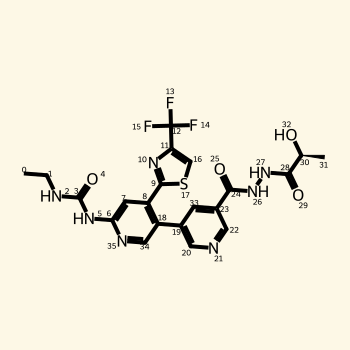 CCNC(=O)Nc1cc(-c2nc(C(F)(F)F)cs2)c(-c2cncc(C(=O)NNC(=O)[C@H](C)O)c2)cn1